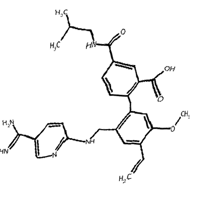 C=Cc1cc(CNc2ccc(C(=N)N)cn2)c(-c2ccc(C(=O)NCC(C)C)cc2C(=O)O)cc1OC